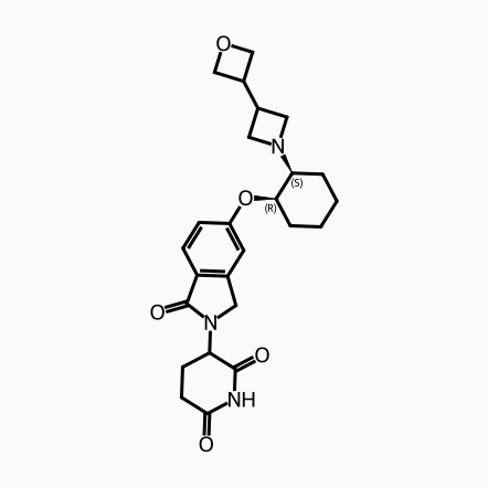 O=C1CCC(N2Cc3cc(O[C@@H]4CCCC[C@@H]4N4CC(C5COC5)C4)ccc3C2=O)C(=O)N1